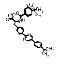 CC(C)c1ccc(-c2cnc(-c3ccc(C[C@H](NC(=O)c4ccc(C(C)(C)C)cc4)C(=O)O)cc3)nc2)cc1